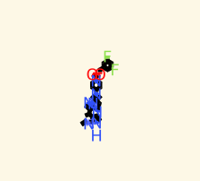 C=C/N=C1/NC=CC1C(C)c1cnn(C2(CC#N)CN(C3CCN(C(=O)OCc4cc(F)cc(F)c4)CC3)C2)c1